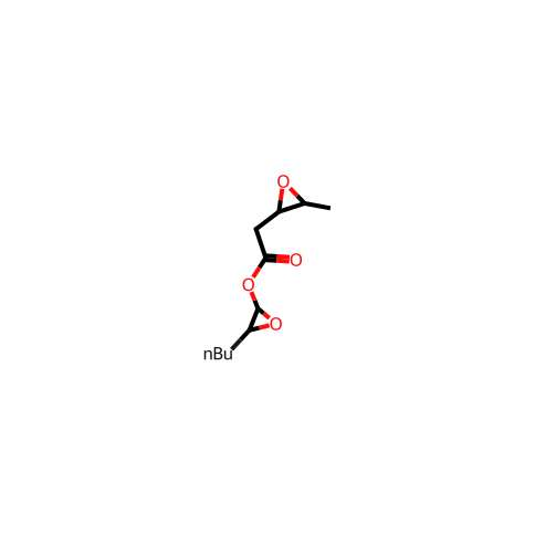 CCCCC1OC1OC(=O)CC1OC1C